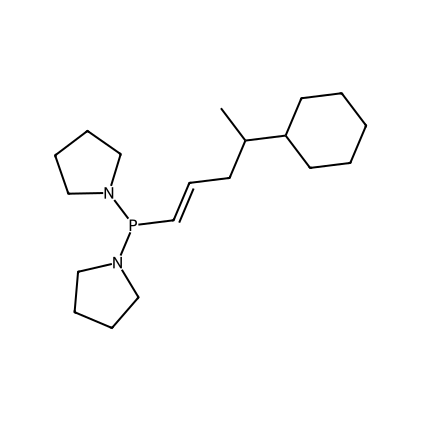 CC(CC=CP(N1CCCC1)N1CCCC1)C1CCCCC1